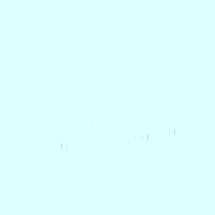 CC(O)(CC(C)(c1ccccc1)c1ccc(Cl)cc1)c1ccc(Cl)cc1